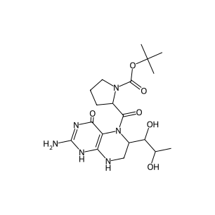 CC(O)C(O)C1CNc2[nH]c(N)nc(=O)c2N1C(=O)C1CCCN1C(=O)OC(C)(C)C